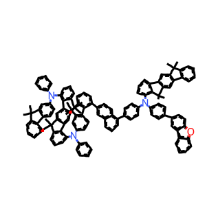 CC1(C)c2ccccc2-c2ccc(N(c3ccccc3)c3cccc4c3-c3cc5c(cc3C4(C)C)-c3c(N(c4ccccc4)c4ccc6c(c4)C(C)(C)c4cccc(-c7ccc8c(-c9ccc(N(c%10ccc(-c%11ccc%12oc%13ccccc%13c%12c%11)cc%10)c%10cccc%11c%10C(C)(C)c%10cc%12c(cc%10-%11)C(C)(C)c%10ccccc%10-%12)cc9)cccc8c7)c4-6)cccc3C5(C)C)cc21